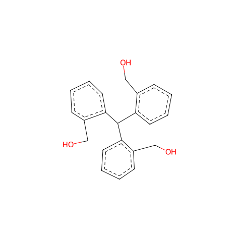 OCc1ccccc1C(c1ccccc1CO)c1ccccc1CO